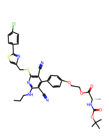 CCCNc1nc(SCc2csc(-c3ccc(Cl)cc3)n2)c(C#N)c(-c2ccc(OCCOC(=O)[C@H](C)NC(=O)OC(C)(C)C)cc2)c1C#N